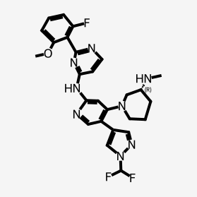 CN[C@@H]1CCCN(c2cc(Nc3ccnc(-c4c(F)cccc4OC)n3)ncc2-c2cnn(C(F)F)c2)C1